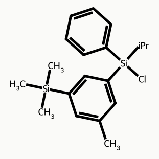 Cc1cc([Si](C)(C)C)cc([Si](Cl)(c2ccccc2)C(C)C)c1